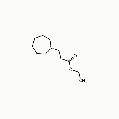 CCOC(=O)CCN1CCCCCC1